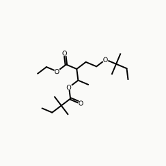 CCOC(=O)C(CCOC(C)(C)CC)C(C)OC(=O)C(C)(C)CC